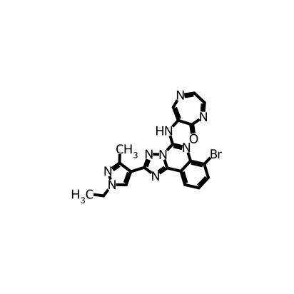 CCn1cc(-c2nc3c4cccc(Br)c4nc(Nc4cnccnc4=O)n3n2)c(C)n1